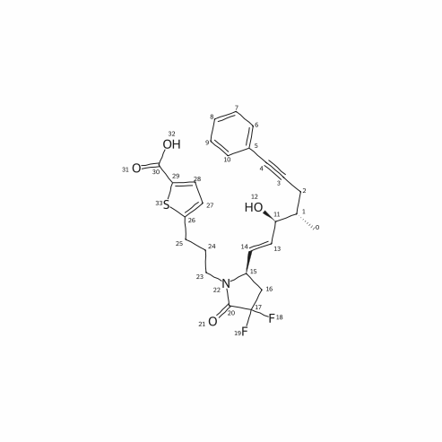 C[C@@H](CC#Cc1ccccc1)[C@H](O)/C=C/[C@H]1CC(F)(F)C(=O)N1CCCc1ccc(C(=O)O)s1